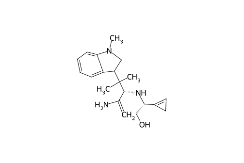 C=C(N)[C@@H](N[C@@H](CO)C1=CC1)C(C)(C)C1CN(C)c2ccccc21